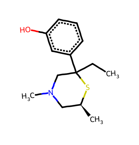 CCC1(c2cccc(O)c2)CN(C)C[C@H](C)S1